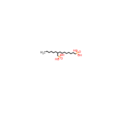 CCCCCCC(CCCCCCCCP(=O)(O)O)CP(=O)(O)O